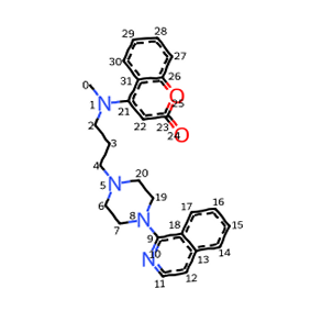 CN(CCCN1CCN(c2nccc3ccccc23)CC1)c1cc(=O)oc2ccccc12